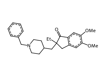 CCC1(CC2CCN(Cc3ccccc3)CC2)Cc2cc(OC)c(OC)cc2C1=O